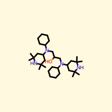 CC1(C)CC(N(CC(O)CN(C2CCCCC2)C2CC(C)(C)NC(C)(C)C2)C2CCCCC2)CC(C)(C)N1